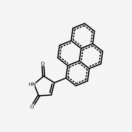 O=C1C=C(c2ccc3ccc4cccc5ccc2c3c45)C(=O)N1